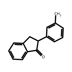 Cc1cccc(C2Cc3ccccc3C2=O)c1